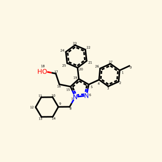 Cc1ccc(-c2nn(CC3CC[CH]CC3)c(CCO)c2-c2ccccc2)cc1